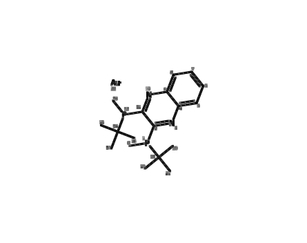 CP(c1nc2ccccc2nc1P(C)C(C)(C)C)C(C)(C)C.[Au]